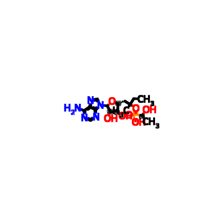 CCC(C)(C[C@H]1OC(n2cnc3c(N)ncnc32)[C@H](O)[C@@H]1O)OP(=O)(O)[C@@H](C)O